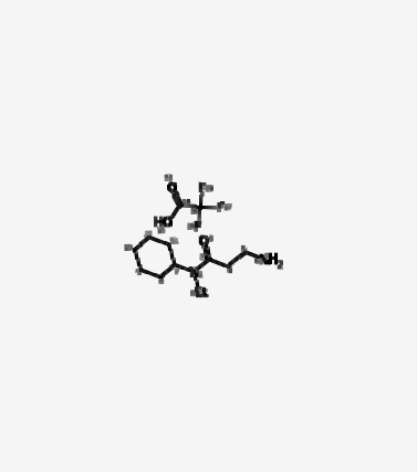 CCN(C(=O)CCN)C1CCCCC1.O=C(O)C(F)(F)F